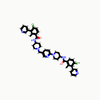 Cc1c(C(=O)NC2CCN(c3ccc(CN4CCC(NC(=O)c5ccc(Cl)c(-c6cccnc6)c5C)CC4)cn3)CC2)ccc(F)c1-c1cccnc1